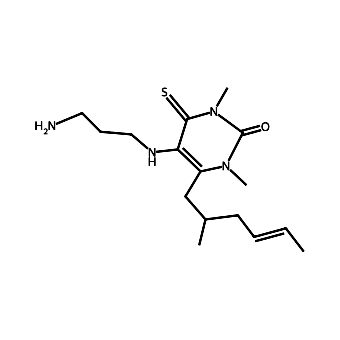 C/C=C/CC(C)Cc1c(NCCCN)c(=S)n(C)c(=O)n1C